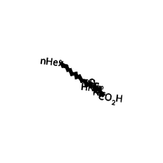 CCCCCC/C=C/CCCCCCCCCC(=O)Nc1nc(CC(=O)O)cs1